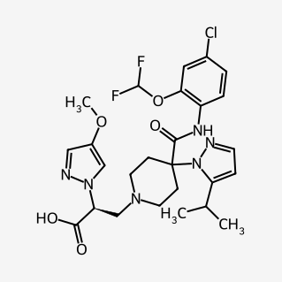 COc1cnn([C@@H](CN2CCC(C(=O)Nc3ccc(Cl)cc3OC(F)F)(n3nccc3C(C)C)CC2)C(=O)O)c1